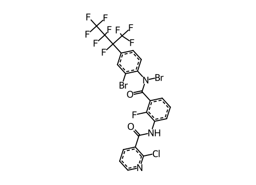 O=C(Nc1cccc(C(=O)N(Br)c2ccc(C(F)(C(F)(F)F)C(F)(F)C(F)(F)F)cc2Br)c1F)c1cccnc1Cl